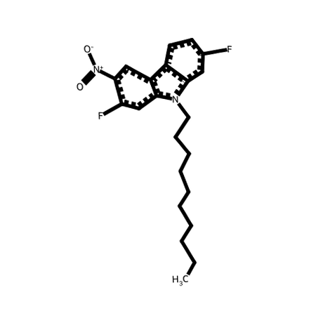 CCCCCCCCCCn1c2cc(F)ccc2c2cc([N+](=O)[O-])c(F)cc21